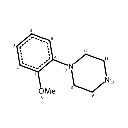 COc1ccccc1N1C[CH][N]CC1